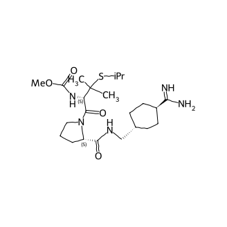 COC(=O)N[C@@H](C(=O)N1CCC[C@H]1C(=O)NC[C@H]1CC[C@H](C(=N)N)CC1)C(C)(C)SC(C)C